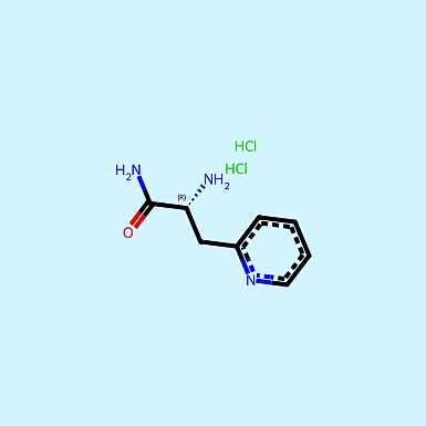 Cl.Cl.NC(=O)[C@H](N)Cc1ccccn1